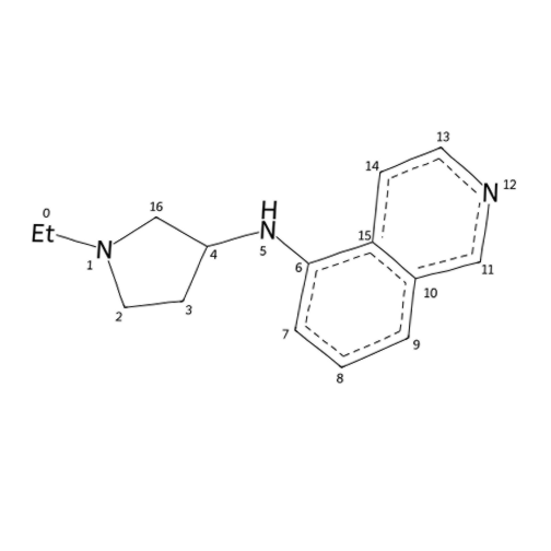 CCN1CCC(Nc2cccc3cnccc23)C1